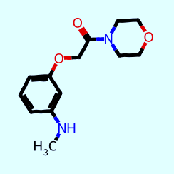 CNc1cccc(OCC(=O)N2CCOCC2)c1